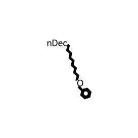 CCCCCCCCCCCCCCCCCCCCOCc1ccccc1